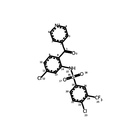 O=C(c1ccncc1)c1ccc(Cl)cc1NS(=O)(=O)c1ccc(Cl)c(C(F)(F)F)c1